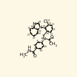 CNC(=O)c1ccc(N(Cc2cccc(Cl)c2-n2cnc3ccccc32)C(C)=O)cc1